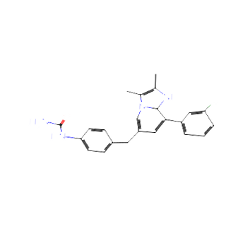 CC1=C(C)N2C=C(Cc3ccc(NC(N)=O)cc3)C=C(c3cccc(Cl)c3)C2N1